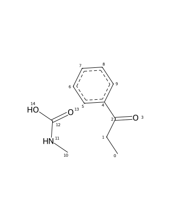 CCC(=O)c1ccccc1.CNC(=O)O